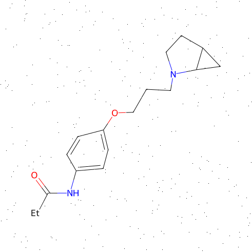 CCC(=O)Nc1ccc(OCCCN2CCC3CC32)cc1